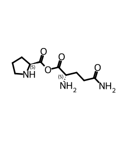 NC(=O)CC[C@H](N)C(=O)OC(=O)[C@@H]1CCCN1